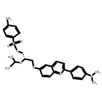 Cc1ccc(S(=O)(=O)OC[C@H](COc2ccc3nc(-c4ccc(N(C)C)cc4)ccc3c2)OC(C)P)cc1